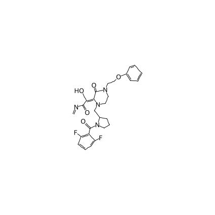 C=NC(=O)/C(O)=C1/C(=O)N(CCOc2ccccc2)CCN1CC1CCCN1C(=O)c1c(F)cccc1F